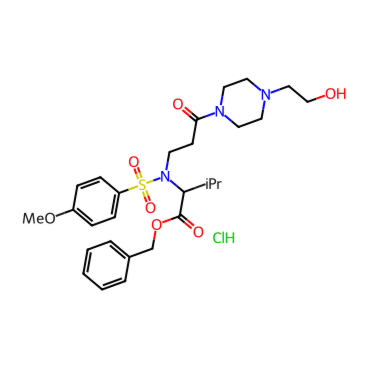 COc1ccc(S(=O)(=O)N(CCC(=O)N2CCN(CCO)CC2)C(C(=O)OCc2ccccc2)C(C)C)cc1.Cl